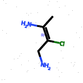 C/C(N)=C(\Cl)CN